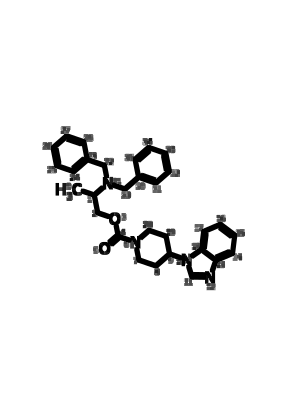 CC(COC(=O)N1CCC(n2cnc3ccccc32)CC1)N(Cc1ccccc1)Cc1ccccc1